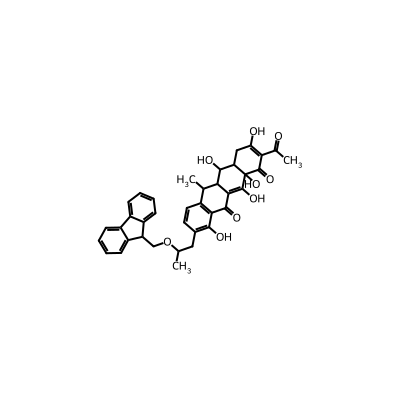 CC(=O)C1=C(O)CC2C(O)C3C(=C(O)C2(O)C1=O)C(=O)c1c(ccc(CC(C)OCC2c4ccccc4-c4ccccc42)c1O)C3C